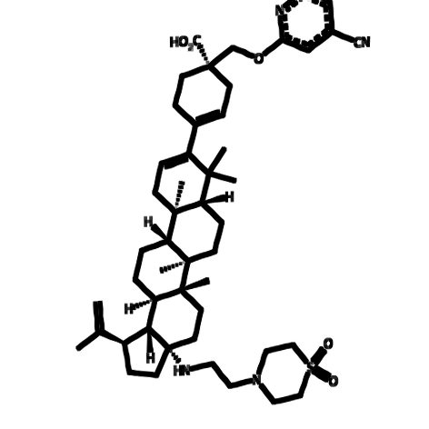 C=C(C)[C@@H]1CC[C@]2(NCCN3CCS(=O)(=O)CC3)CC[C@]3(C)[C@H](CC[C@@H]4[C@@]5(C)CC=C(C6=CC[C@@](COc7cc(C#N)ccn7)(C(=O)O)CC6)C(C)(C)[C@@H]5CC[C@]43C)[C@@H]12